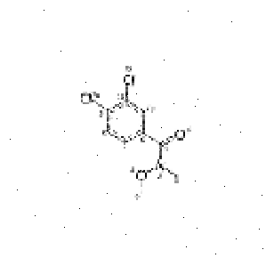 CON(C)C(=O)c1ccc(Cl)c(Cl)c1